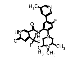 Cc1cncc(-c2cc(NC(=O)c3c[nH]c(=O)cc3C(F)(F)F)c(N3CC(C)N(C)C(C)C3)cc2F)c1